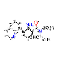 CCCC(C=O)N(C(=O)c1cccc(-c2cccc3cccnc23)c1N)S(=O)(=O)O